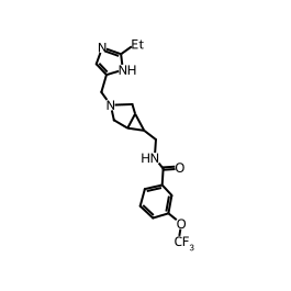 CCc1ncc(CN2CC3C(CNC(=O)c4cccc(OC(F)(F)F)c4)C3C2)[nH]1